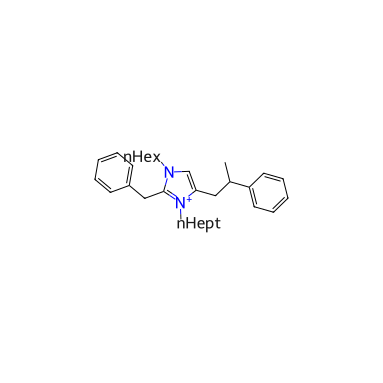 CCCCCCC[n+]1c(CC(C)c2ccccc2)cn(CCCCCC)c1Cc1ccccc1